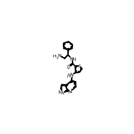 NCC(NC(=O)c1sccc1Nc1ccnc2[nH]ccc12)c1ccccc1